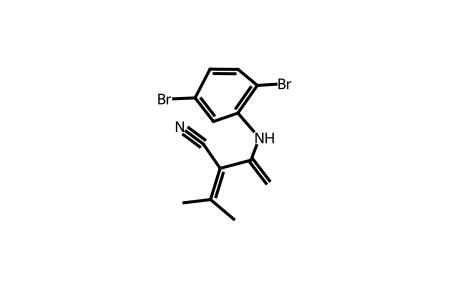 C=C(Nc1cc(Br)ccc1Br)C(C#N)=C(C)C